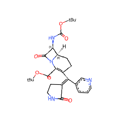 CC(C)(C)OC(=O)N[C@@H]1C(=O)N2C(C(=O)OC(C)(C)C)=C(C(=C3CCNC3=O)c3cccnc3)CC[C@H]12